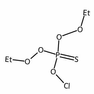 CCOOP(=S)(OCl)OOCC